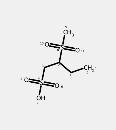 [CH2]CC(CS(=O)(=O)O)S(C)(=O)=O